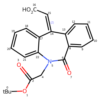 CC(C)(C)OC(=O)CN1C(=O)c2ccccc2/C(=C/C(=O)O)c2ccccc21